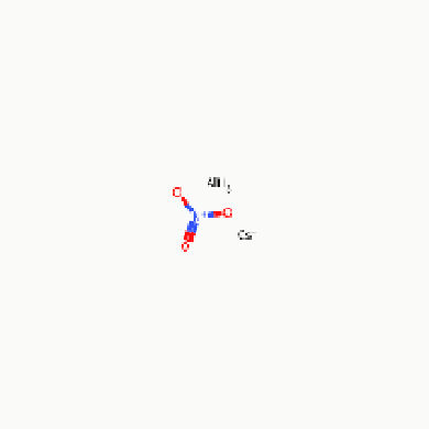 O=[N+]([O-])[O-].[AlH3].[Cs+]